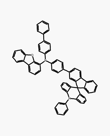 c1ccc(-c2ccc(N(c3ccc(-c4ccc5c(c4)C4(c6ccccc6-5)c5ccccc5N(c5ccccc5)c5ccccc54)cc3)c3cccc4c3oc3ccccc34)cc2)cc1